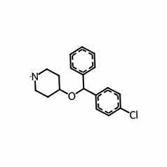 Clc1ccc(C(OC2CC[N]CC2)c2ccccc2)cc1